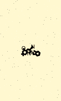 CC1(C)CC(=O)c2cc(C#N)c(N3Cc4ccccc4C3)nc2C1